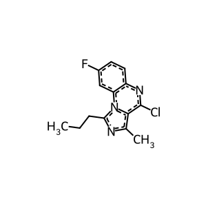 CCCc1nc(C)c2c(Cl)nc3ccc(F)cc3n12